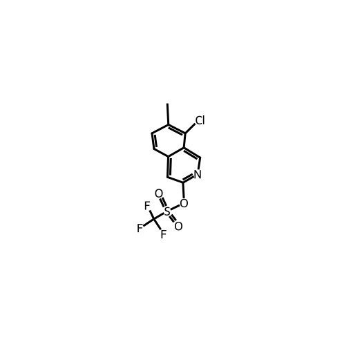 Cc1ccc2cc(OS(=O)(=O)C(F)(F)F)ncc2c1Cl